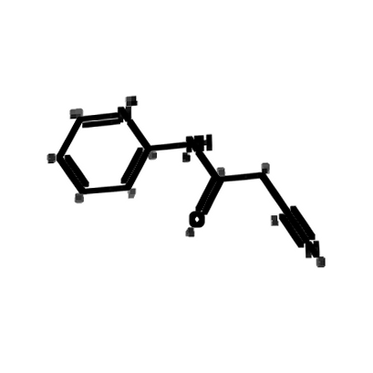 N#CCC(=O)Nc1ccccn1